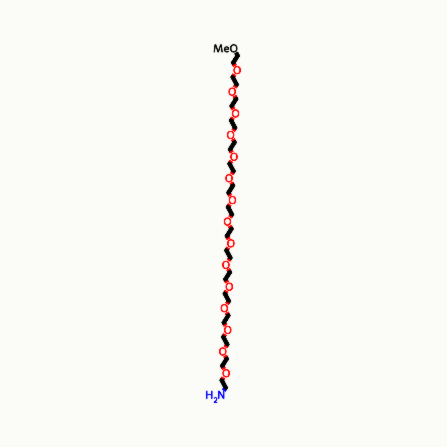 COCCOCCOCCOCCOCCOCCOCCOCCOCCOCCOCCOCCOCCOCCOCCOCCN